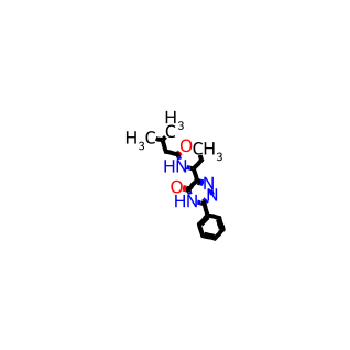 CCC(NC(=O)CC(C)C)c1nnc(-c2ccccc2)[nH]c1=O